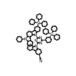 N#Cc1ccc2c(c1)c1ccccc1n2-c1nc(-c2cccc([Si](c3ccccc3)(c3ccccc3)c3ccccc3)c2)nc(-n2c3ccc([Si](c4ccccc4)(c4ccccc4)c4ccccc4)cc3c3ccc4c(c5ccccc5n4-c4ccccc4)c32)n1